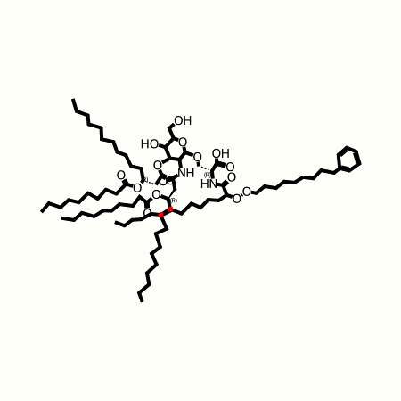 CCCCCCCCCCCCC(OOCCCCCCCCCc1ccccc1)C(=O)N[C@H](COC1OC(CO)C(O)C(OC(=O)C[C@@H](CCCCCCCCCCC)OC(=O)CCCCCCCCC)C1NC(=O)C[C@@H](CCCCCCCCCCC)OC(=O)CCCCCCCCC)C(=O)O